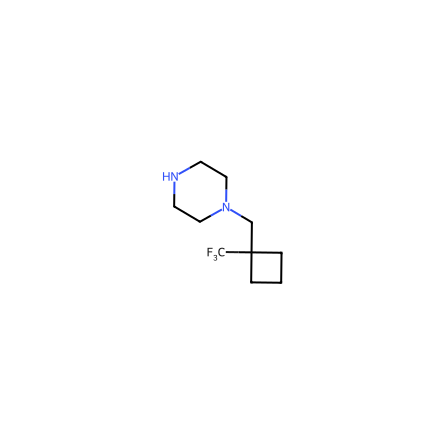 FC(F)(F)C1(CN2CCNCC2)CCC1